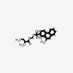 CCC(C)C(=O)OCOC(C)(C)c1ccc2c(c1)c(C)cc1ccccc12